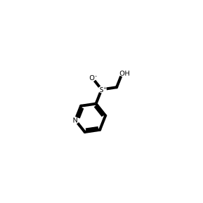 [O-][S+](CO)c1cccnc1